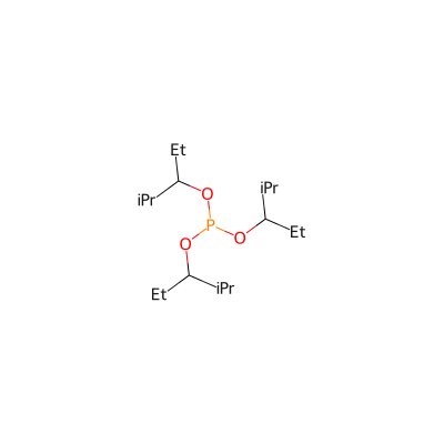 CCC(OP(OC(CC)C(C)C)OC(CC)C(C)C)C(C)C